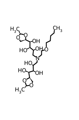 CCCCCOCCN(C[C@H](O)[C@@H](O)[C@H](O)[C@H]1CO[C@@H](C)O1)C[C@H](O)[C@@H](O)[C@H](O)[C@H]1CO[C@@H](C)O1